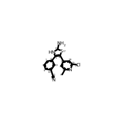 Cc1cc(C2=C(c3cccc(C#N)c3)NC(N)S2)cc(Cl)n1